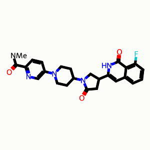 CNC(=O)c1ccc(N2CCC(N3CC(c4cc5cccc(F)c5c(=O)[nH]4)CC3=O)CC2)cn1